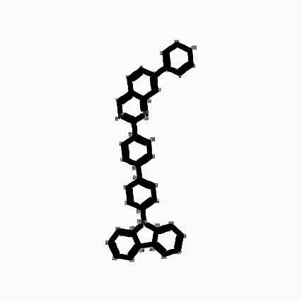 C1=CC(c2ccc3cnc(-c4ccc(-c5ccc(-n6c7ccccc7c7ccccc76)cc5)cc4)nc3c2)=CCC1